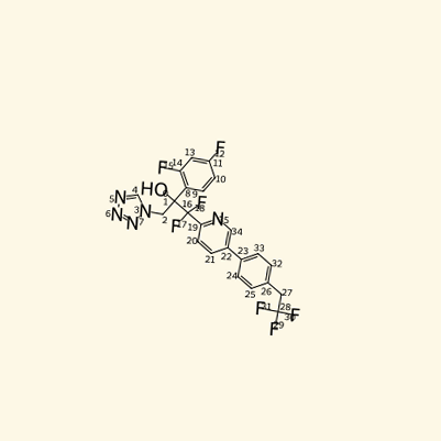 OC(Cn1cnnn1)(c1ccc(F)cc1F)C(F)(F)c1ccc(-c2ccc(CC(F)(F)F)cc2)cn1